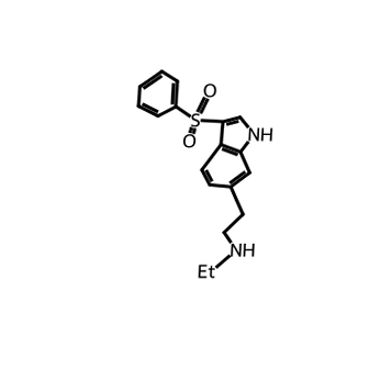 CCNCCc1ccc2c(S(=O)(=O)c3ccccc3)c[nH]c2c1